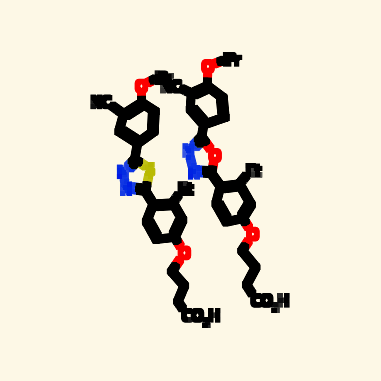 CCc1cc(OCCCC(=O)O)ccc1-c1nnc(-c2ccc(OC(C)C)c(C#N)c2)o1.CCc1cc(OCCCC(=O)O)ccc1-c1nnc(-c2ccc(OC(C)C)c(C#N)c2)s1